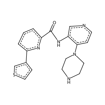 O=C(Nc1cnccc1N1CCNCC1)c1cccc(-c2ccsc2)n1